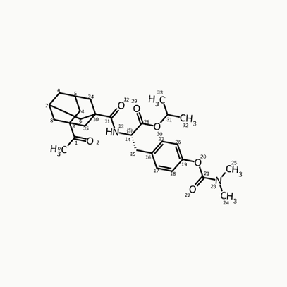 CC(=O)C12CC3CC(C1)CC(C(=O)N[C@@H](Cc1ccc(OC(=O)N(C)C)cc1)C(=O)OC(C)C)(C3)C2